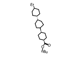 CCCCOC(=O)[C@H]1CC[C@@H](C2CCC([C@H]3CC[C@H](CC)CC3)CC2)CC1